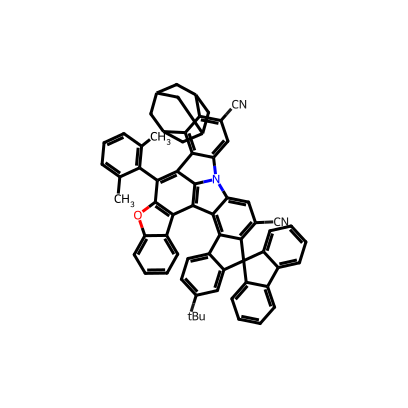 Cc1cccc(C)c1-c1c2oc3ccccc3c2c2c3c4c(c(C#N)cc3n3c5cc(C#N)c6c(c5c1c23)C1CC2CC(CC6C2)C1)C1(c2ccccc2-c2ccccc21)c1cc(C(C)(C)C)ccc1-4